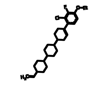 C=CC1CCC(C2CCC(C3CC=C(c4ccc(OCC)c(F)c4Cl)CC3)CC2)CC1